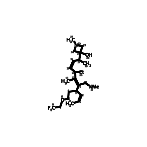 C/C=C\C(CCOCC(F)(F)F)/C(CNC)=C(\C)C(/C=C\C(C)C1(O)CN(C)C1)CC